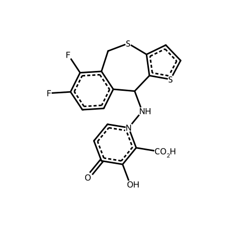 O=C(O)c1c(O)c(=O)ccn1NC1c2ccc(F)c(F)c2CSc2ccsc21